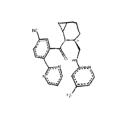 N#Cc1ccc(-c2ncccn2)c(C(=O)N2C3CC3CC[C@H]2CNc2cc(C(F)(F)F)ccn2)c1